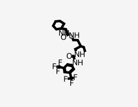 CCC(CCNC(=O)CC1(N)CCCCC1)CNC(=O)Nc1cc(C(F)(F)F)cc(C(F)(F)F)c1